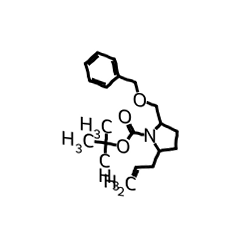 C=CCC1CCC(COCc2ccccc2)N1C(=O)OC(C)(C)C